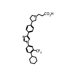 O=C(O)CCN1CCC(c2ccc(-c3cn(-c4ccc(C5CCCCC5)c(C(F)(F)F)c4)cn3)cc2)C1